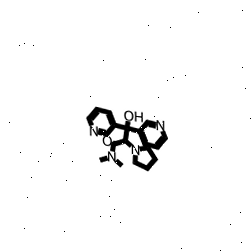 CN(C)C(=O)C(N1CCCC1)C(O)(c1cccnc1)c1cccnc1